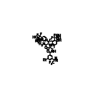 CCc1cc(C(=O)N[C@@H](Cc2ccc(C(F)(F)P(=O)(O)O)c(C)c2)C(=O)N[C@@H](Cc2ccc(C(F)(F)P(=O)(O)O)c(C)c2)C(N)=O)cc(C2(C(F)(F)F)N=N2)c1